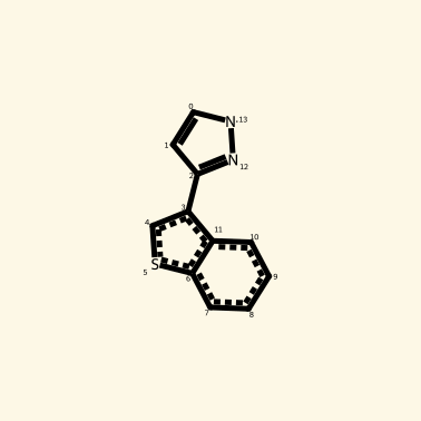 C1=CC(c2csc3ccccc23)=N[N]1